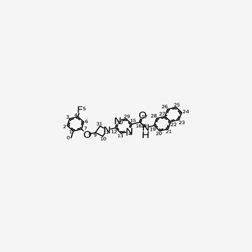 Cc1ccc(F)cc1OC1CN(c2cnc(C(=O)Nc3ccc4ccccc4c3)cn2)C1